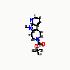 Cn1c2c(c3cccnc31)CCN(C(=O)OC(C)(C)C)CC2